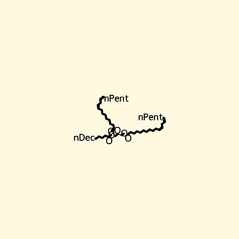 CCCCC/C=C\C/C=C\CCCCCCCCCC(=O)OC[C@@H](COC(=O)CCCCCCCCCCCCCC)OC(=O)CCCCCCC/C=C\C/C=C\CCCCC